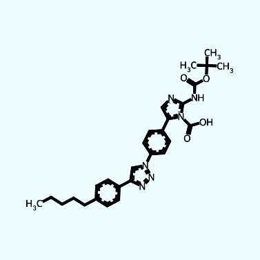 CCCCCc1ccc(-c2cn(-c3ccc(-c4cnc(NC(=O)OC(C)(C)C)n4C(=O)O)cc3)nn2)cc1